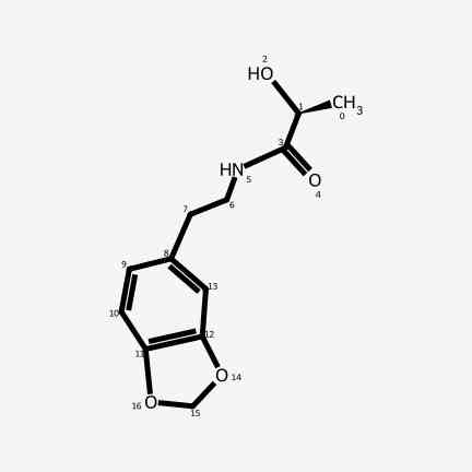 C[C@H](O)C(=O)NCCc1ccc2c(c1)OCO2